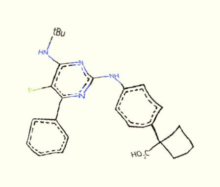 CC(C)(C)Nc1nc(Nc2ccc(C3(C(=O)O)CCC3)cc2)nc(-c2ccccc2)c1F